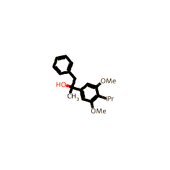 COc1cc(C(C)(O)Cc2ccccc2)cc(OC)c1C(C)C